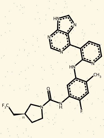 Cc1cc(F)c(NC(=O)N2CC[C@@H](CC(F)(F)F)C2)cc1Nc1ncccc1-c1ncnc2[nH]cnc12